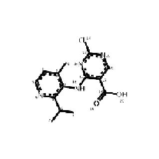 Cc1ccnc(C(C)C)c1Nc1nc(Cl)ncc1C(=O)O